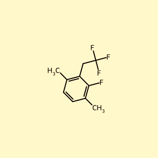 Cc1ccc(C)c(CC(F)(F)F)c1F